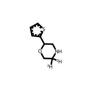 [2H]C1([2H])COC(c2cccs2)CN1